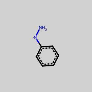 N[N]c1ccccc1